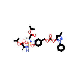 Cc1cc(OC(=O)OCc2ccc(OP(=O)(N[C@@H](C)C(=O)OC(C)C)N[C@@H](C)C(=O)OC(C)C)cc2)n(-c2ccccc2)n1